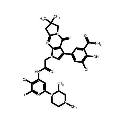 CC1CN(C)CCN1c1cc(NC(=O)Cn2cc(-c3cc(Cl)c(O)c(C(N)=O)c3)c3c(=O)n4c(nc32)CC(C)(C)C4)c(Cl)c(F)n1